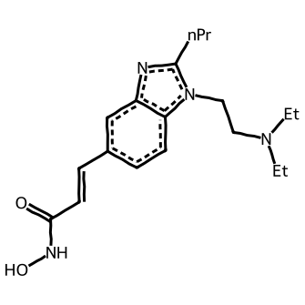 CCCc1nc2cc(/C=C/C(=O)NO)ccc2n1CCN(CC)CC